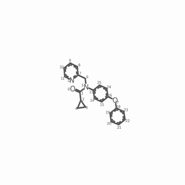 O=C(C1CC1)N(Cc1ccccn1)c1ccc(Oc2ccccc2)cc1